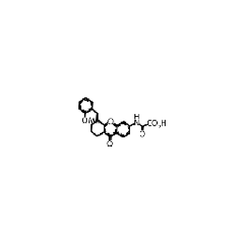 COc1ccccc1C=C1CCCc2c1oc1cc(NC(=O)C(=O)O)ccc1c2=O